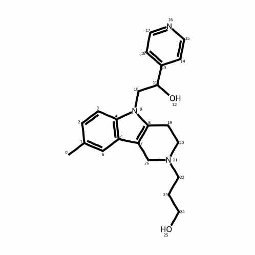 Cc1ccc2c(c1)c1c(n2CC(O)c2ccncc2)CCN(CCCO)C1